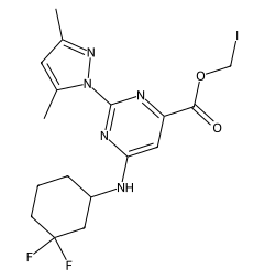 Cc1cc(C)n(-c2nc(NC3CCCC(F)(F)C3)cc(C(=O)OCI)n2)n1